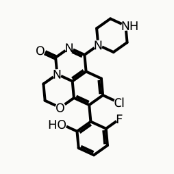 O=c1nc(N2CCNCC2)c2cc(Cl)c(-c3c(O)cccc3F)c3c2n1CCO3